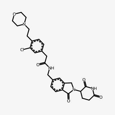 O=C(Cc1ccc(CCN2CCOCC2)c(Cl)c1)NCc1ccc2c(c1)CN(C1CCC(=O)NC1=O)C2=O